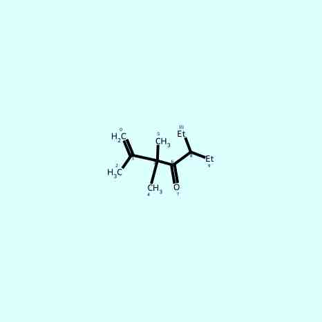 C=C(C)C(C)(C)C(=O)C(CC)CC